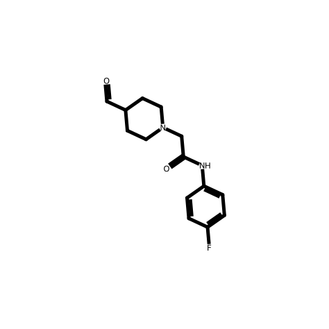 O=CC1CCN(CC(=O)Nc2ccc(F)cc2)CC1